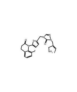 NC/C(=C\F)Cn1ncn(Cc2ccc(N3C(=O)CCc4cccc(F)c43)s2)c1=O